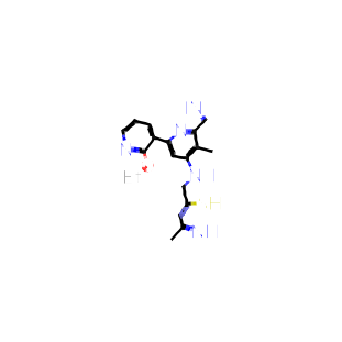 CCOc1ncccc1-c1cc(NC/C(S)=C/C(C)=N)c(C)c(C=N)n1